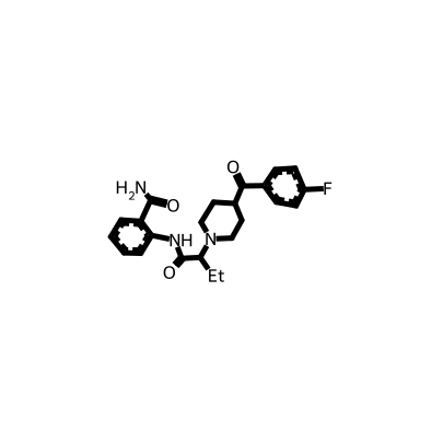 CCC(C(=O)Nc1ccccc1C(N)=O)N1CCC(C(=O)c2ccc(F)cc2)CC1